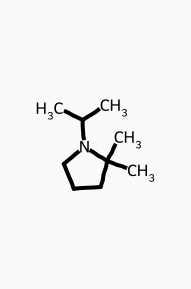 CC(C)N1CCCC1(C)C